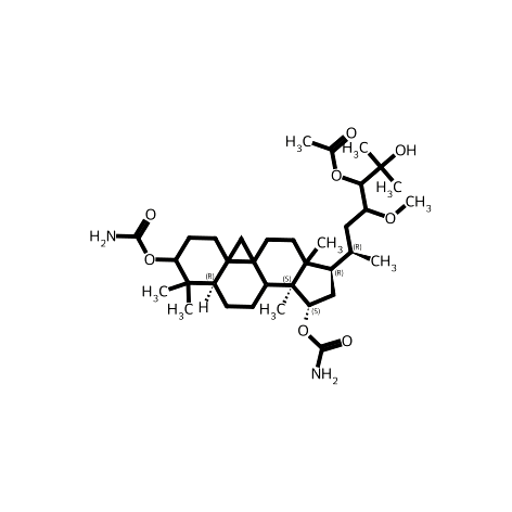 COC(C[C@@H](C)[C@H]1C[C@H](OC(N)=O)[C@@]2(C)C3CC[C@H]4C(C)(C)C(OC(N)=O)CCC45CC35CCC12C)C(OC(C)=O)C(C)(C)O